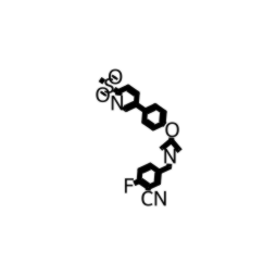 CS(=O)(=O)c1ccc(-c2ccc(OC3CN(Cc4ccc(F)c(C#N)c4)C3)cc2)cn1